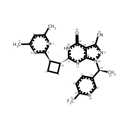 Cc1cc(C)nc([C@@H]2CC[C@H]2c2nc3c(c(C#N)nn3[C@@H](C)c3ccc(C(F)(F)F)nc3)c(=O)[nH]2)n1